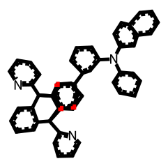 c1ccc(N(c2cccc(-c3ccc4c(c3)C3(c5ccccn5)c5ccccc5C4(c4ccccn4)c4ccccc43)c2)c2ccc3ccccc3c2)cc1